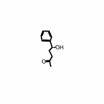 CC(=O)CC[C@H](O)c1ccccc1